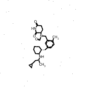 Cc1ccc(C[C@H]2CCCC[C@@H]2NC(C)CC2CC2)cc1CN(C=O)C1CCC(=O)NC1=O